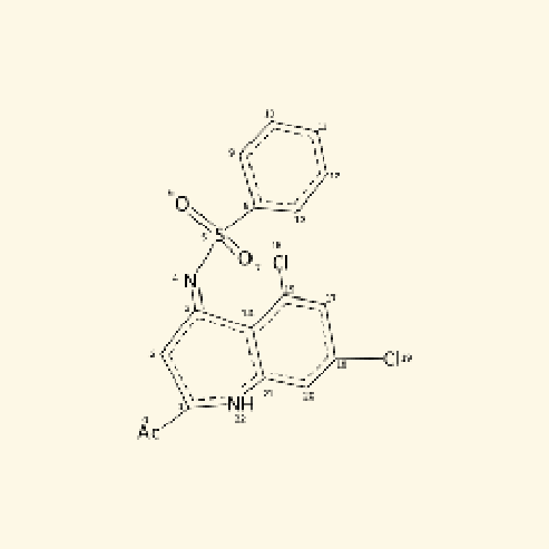 CC(=O)c1c/c(=N/S(=O)(=O)c2ccccc2)c2c(Cl)cc(Cl)cc2[nH]1